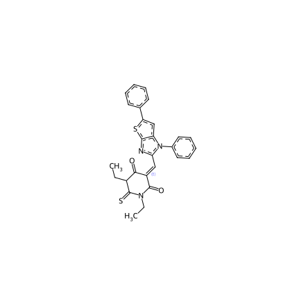 CCC1C(=O)/C(=C\c2nc3sc(-c4ccccc4)cc3n2-c2ccccc2)C(=O)N(CC)C1=S